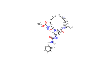 CC(C)(C)OC(=O)N[C@H]1CCCCC/C=C\[C@@H]2C[C@@]2(C(=O)O)NC(=O)[C@@H]2C[C@@H](NC(=O)N3CCc4ccccc4C3)CN2C1=O